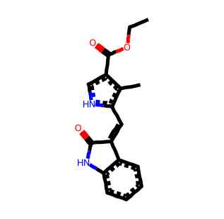 CCOC(=O)c1c[nH]c(C=C2C(=O)Nc3ccccc32)c1C